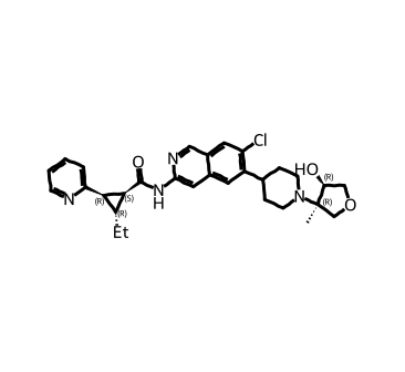 CC[C@H]1[C@H](C(=O)Nc2cc3cc(C4CCN([C@]5(C)COC[C@@H]5O)CC4)c(Cl)cc3cn2)[C@@H]1c1ccccn1